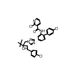 CC(C)(C)C(O)(CCc1ccc(Cl)cc1)Cn1cncn1.O=C(Nc1ccccc1-c1ccc(Cl)cc1)c1cccnc1Cl